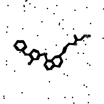 CCOC(=O)CC(=O)NCC#Cc1ccc2ncnc(Nc3ccc(Oc4cccnc4)c(Cl)c3)c2c1